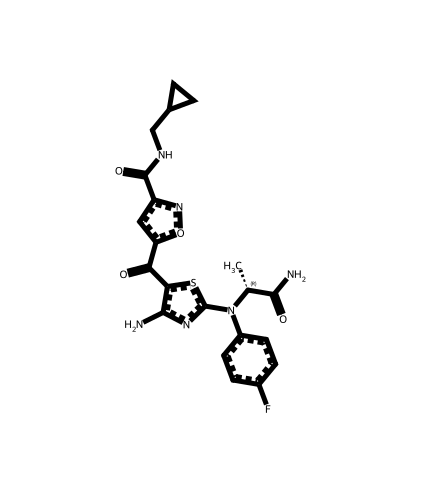 C[C@H](C(N)=O)N(c1ccc(F)cc1)c1nc(N)c(C(=O)c2cc(C(=O)NCC3CC3)no2)s1